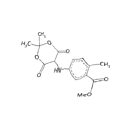 COC(=O)c1cc(NC2C(=O)OC(C)(C)OC2=O)ccc1C